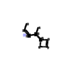 C/C=N\N(C)N1C=CC1